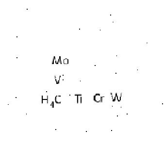 C.[Cr].[Mo].[Ti].[V].[W]